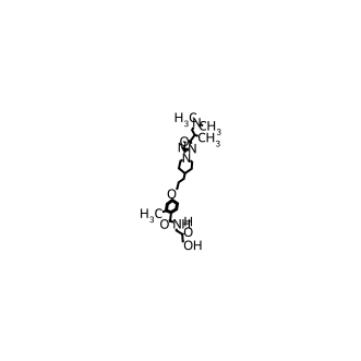 Cc1cc(OCCCC2CCN(c3noc(C(C)CN(C)C)n3)CC2)ccc1C(=O)NC[C@H](O)CO